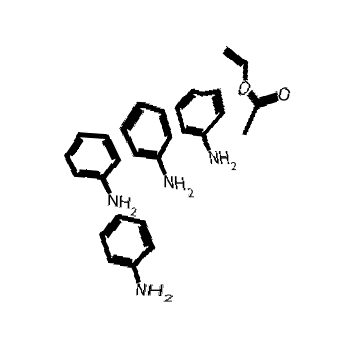 C=COC(C)=O.Nc1ccccc1.Nc1ccccc1.Nc1ccccc1.Nc1ccccc1